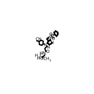 CC(C)(O)CNC(=O)Cc1nc2cnc3c(ccn3S(=O)(=O)c3ccccc3)c2n1C1CCC(CC#N)CC1